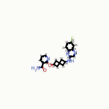 NC(=O)c1cccnc1OC1CC2(CC(Nc3cnc4cc(F)ccc4n3)C2)C1